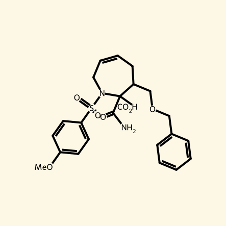 COc1ccc(S(=O)(=O)N2CC=CCC(COCc3ccccc3)C2(C(N)=O)C(=O)O)cc1